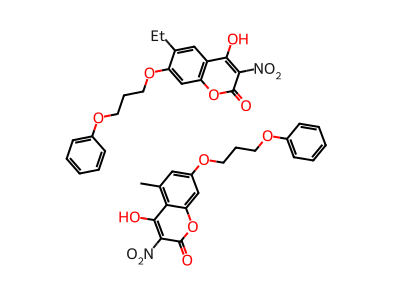 CCc1cc2c(O)c([N+](=O)[O-])c(=O)oc2cc1OCCCOc1ccccc1.Cc1cc(OCCCOc2ccccc2)cc2oc(=O)c([N+](=O)[O-])c(O)c12